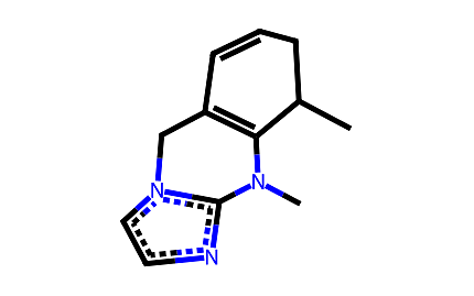 CC1CC=CC2=C1N(C)c1nccn1C2